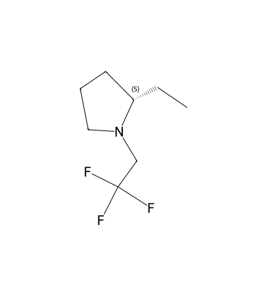 CC[C@H]1CCCN1CC(F)(F)F